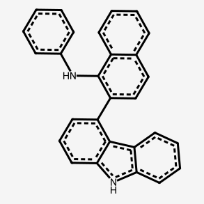 c1ccc(Nc2c(-c3cccc4[nH]c5ccccc5c34)ccc3ccccc23)cc1